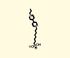 CCC[n+]1ccc(-c2cc[n+](CCCCCCCCP(=O)(O)O)cc2)cc1